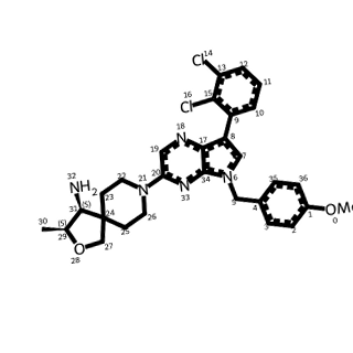 COc1ccc(Cn2cc(-c3cccc(Cl)c3Cl)c3ncc(N4CCC5(CC4)CO[C@@H](C)[C@H]5N)nc32)cc1